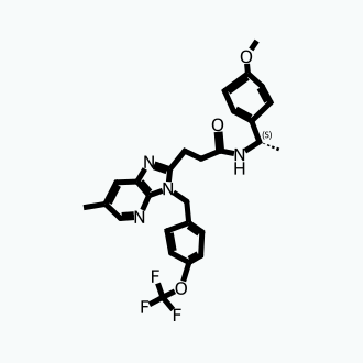 COc1ccc([C@H](C)NC(=O)CCc2nc3cc(C)cnc3n2Cc2ccc(OC(F)(F)F)cc2)cc1